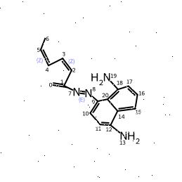 C=C(/C=C\C=C/C)/N=N/c1ccc(N)c2cccc(N)c12